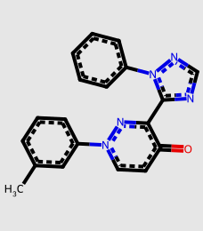 Cc1cccc(-n2ccc(=O)c(-c3ncnn3-c3ccccc3)n2)c1